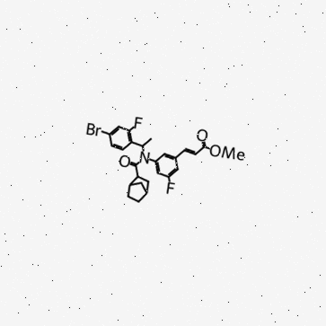 COC(=O)/C=C/c1cc(F)cc(N(C(=O)C2CC3CCC2C3)C(C)c2ccc(Br)cc2F)c1